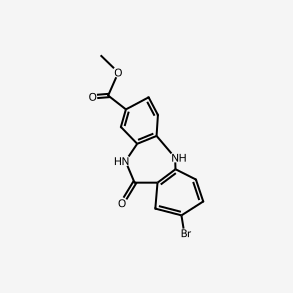 COC(=O)c1ccc2c(c1)NC(=O)c1cc(Br)ccc1N2